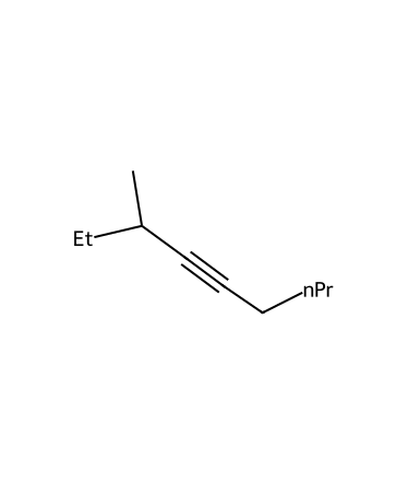 CCCCC#CC(C)CC